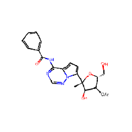 CC(=O)O[C@H]1[C@@H](O)[C@](C)(c2ccc3c(NC(=O)c4ccccc4)ncnn23)O[C@@H]1CO